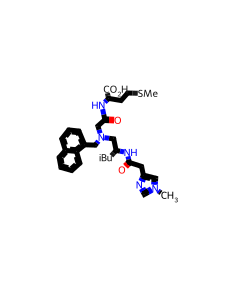 CCC(C)C(CN(CC(=O)NC(CCSC)C(=O)O)Cc1cccc2ccccc12)NC(=O)Cc1cn(C)cn1